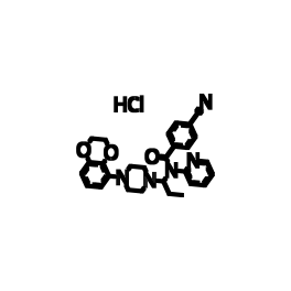 CCC(N1CCN(c2cccc3c2OCCO3)CC1)N(C(=O)c1ccc(C#N)cc1)c1ccccn1.Cl